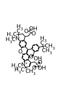 CN1c2cc3c(cc2C(CS(=O)(=O)O)CC1(C)C)C(c1ccc(C(C)(C)C)cc1C(=O)O)=c1cc2c(cc1O3)=[N+](C)C(C)(C)C=C2CS(=O)(=O)O